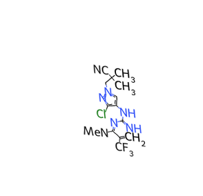 C=C(/C(=N\C(=N)Nc1cn(CC(C)(C)C#N)nc1Cl)NC)C(F)(F)F